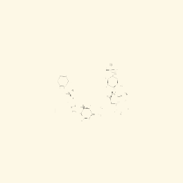 CC(C)(CNS(=O)(=O)c1ccccc1)Oc1ccc(CCCC2=NN(c3ccc(C(F)(F)F)cc3)C(=O)C23CCCC3)cc1